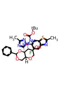 Cc1nc([C@@]23OC(c4ccccc4)OC[C@H]2OC[C@H](O)[C@H]3NNC(=O)OC(C)(C)C)n(-c2cc3sc(C)nc3cc2F)n1